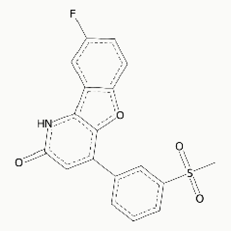 CS(=O)(=O)c1cccc(-c2cc(=O)[nH]c3c2oc2ccc(F)cc23)c1